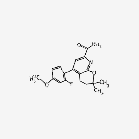 CC1(C)CCc2c(-c3ccc(O[11CH3])cc3F)cc(C(N)=O)nc2O1